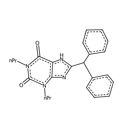 CCCn1c(=O)c2[nH]c(C(c3ccccc3)c3ccccc3)nc2n(CCC)c1=O